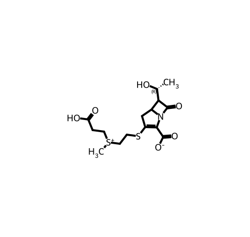 C[C@@H](O)C1C(=O)N2C(C(=O)[O-])=C(SCC[S+](C)CCC(=O)O)CC12